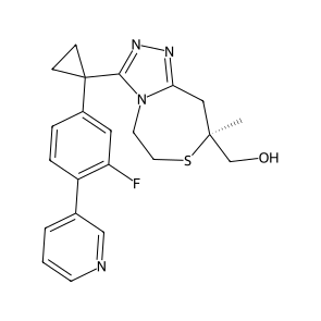 C[C@@]1(CO)Cc2nnc(C3(c4ccc(-c5cccnc5)c(F)c4)CC3)n2CCS1